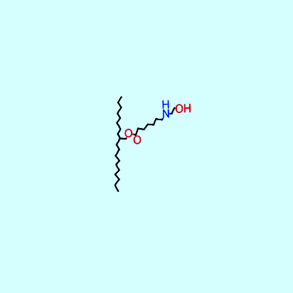 CCCCCCCCCCC(CCCCCCCC)COC(=O)CCCCCCNCCO